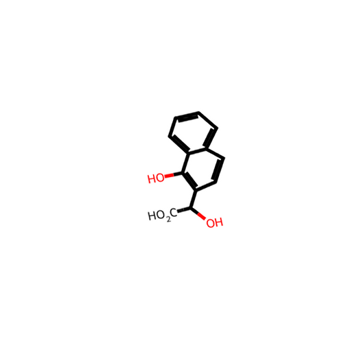 O=C(O)C(O)c1ccc2ccccc2c1O